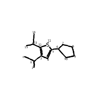 CC(C)c1cc(C2CCCC2)sc1C(C)C